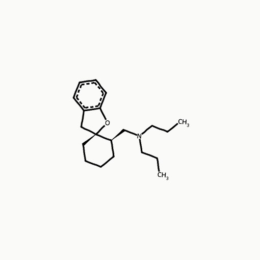 CCCN(CCC)C[C@H]1CCCC[C@]12Cc1ccccc1O2